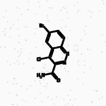 NC(=O)c1nnc2ccc(Br)cc2c1Cl